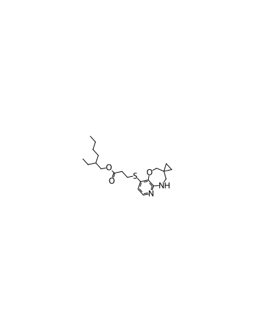 CCCCC(CC)COC(=O)CCSc1ccnc2c1OCC1(CC1)CN2